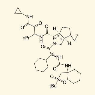 CCCC(NC(=O)[C@@H]1[C@H]2CCC3(CC3)[C@H]2CN1C(=O)[C@@H](NC(=O)NC1(CS(=O)(=O)C(C)(C)C)CCCCC1)C1CCCCC1)C(=O)C(=O)NC1CC1